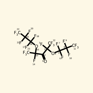 O=C(C(F)(OC(F)(F)C(F)(F)C(F)(F)F)C(F)(F)F)C(F)(OC(F)(F)C(F)(F)C(F)(F)F)C(F)(F)F